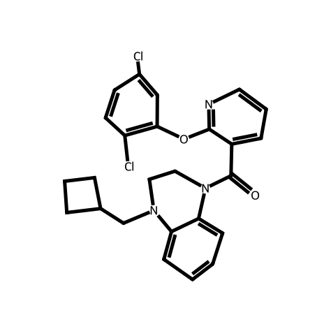 O=C(c1cccnc1Oc1cc(Cl)ccc1Cl)N1CCN(CC2CCC2)c2ccccc21